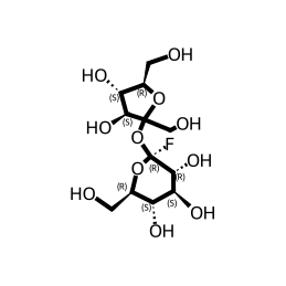 OC[C@H]1OC(CO)(O[C@]2(F)O[C@H](CO)[C@@H](O)[C@H](O)[C@H]2O)[C@@H](O)[C@@H]1O